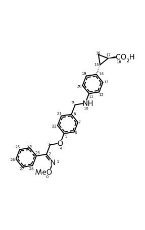 CON=C(COc1ccc(CNc2ccc([C@@H]3C[C@H]3C(=O)O)cc2)cc1)c1ccccc1